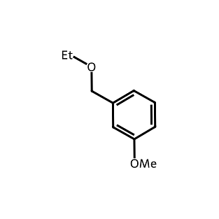 [CH2]COCc1cccc(OC)c1